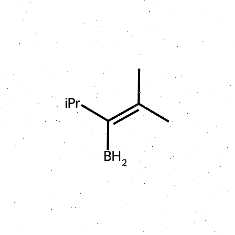 BC(=C(C)C)C(C)C